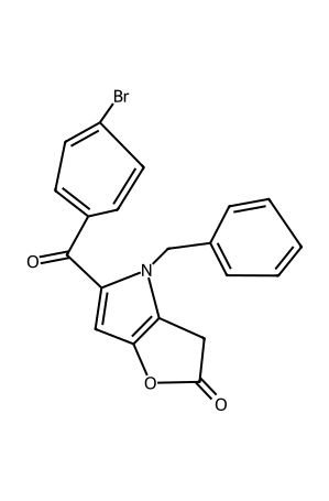 O=C1Cc2c(cc(C(=O)c3ccc(Br)cc3)n2Cc2ccccc2)O1